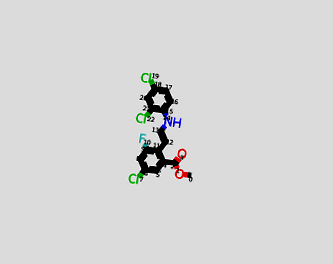 COC(=O)c1[c]c(Cl)cc(F)c1C=CNc1ccc(Cl)cc1Cl